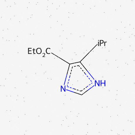 CCOC(=O)c1nc[nH]c1C(C)C